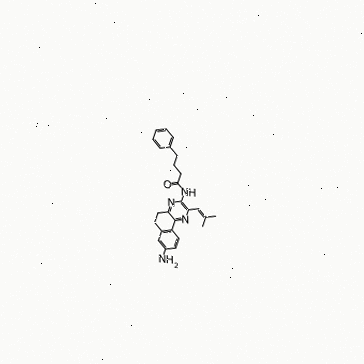 CC(C)=Cc1nc2c(nc1NC(=O)CCCc1ccccc1)CCc1cc(N)ccc1-2